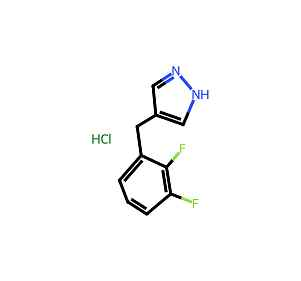 Cl.Fc1cccc(Cc2cn[nH]c2)c1F